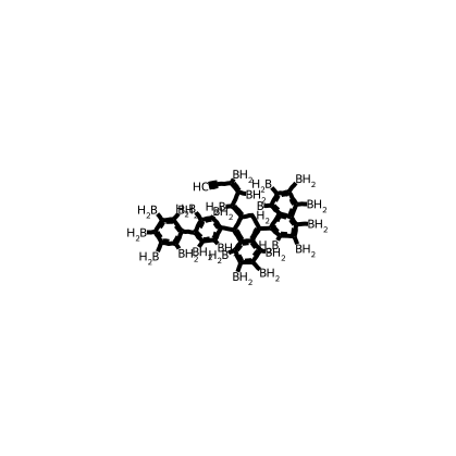 B/C(C#C)=C(B)/C(B)=C1\CC(c2c(B)c(B)c(B)c3c(B)c(B)c(B)c(B)c23)=c2c(B)c(B)c(B)c(B)c2=C1c1c(B)c(B)c(-c2c(B)c(B)c(B)c(B)c2B)c(B)c1B